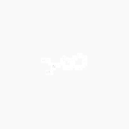 ON(O)c1cc2ccccc2o1